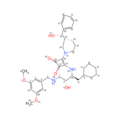 COc1cc(CNC[C@@H](O)[C@H](CC2CCCCC2)Nc2c(N3CCC[C@@H]([C@H](O)c4ccccc4)C3)c(=O)c2=O)cc(OC)c1